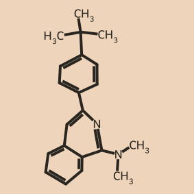 CN(C)c1nc(-c2ccc(C(C)(C)C)cc2)cc2ccccc12